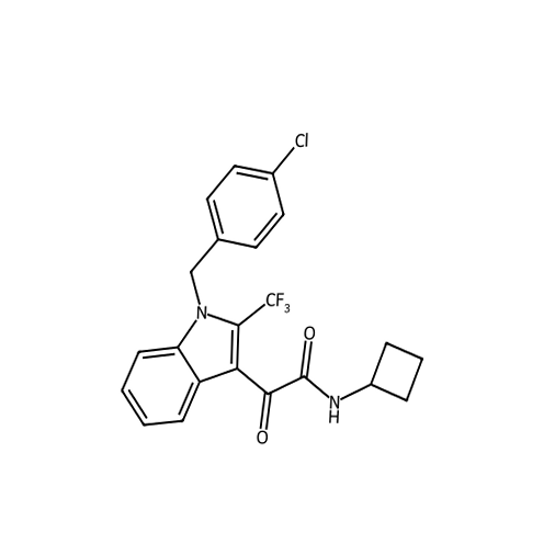 O=C(NC1CCC1)C(=O)c1c(C(F)(F)F)n(Cc2ccc(Cl)cc2)c2ccccc12